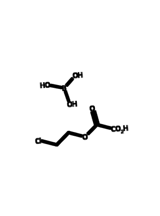 O=C(O)C(=O)OCCCl.OB(O)O